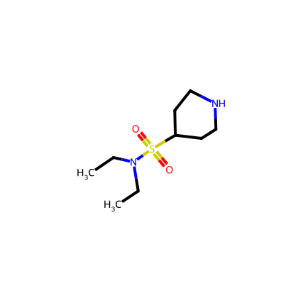 CCN(CC)S(=O)(=O)C1CCNCC1